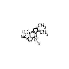 C=C([C@@H]1C[C@H](C)[C@H](C)N1)N1C(C)CC[C@H]1C#N